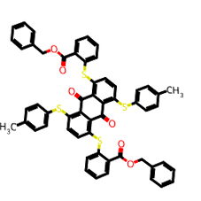 Cc1ccc(Sc2ccc(Sc3ccccc3C(=O)OCc3ccccc3)c3c2C(=O)c2c(Sc4ccccc4C(=O)OCc4ccccc4)ccc(Sc4ccc(C)cc4)c2C3=O)cc1